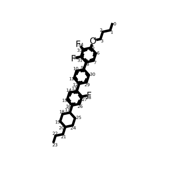 CCCCOc1ccc(-c2ccc(-c3ccc(C4CCC(CCC)CC4)cc3F)cc2)c(F)c1F